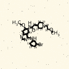 CCOc1cc2ncnc(Nc3cccc(Br)c3)c2cc1NC(=O)C=C1CCN(CCOC)CC1